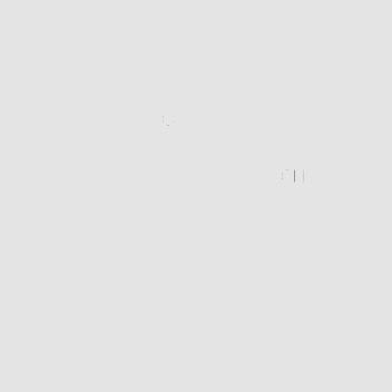 CC1CCCCCCCOC1